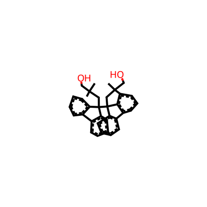 CC(C)(CO)CC1(C2(CC(C)(C)CO)c3ccccc3-c3ccccc32)c2ccccc2-c2ccccc21